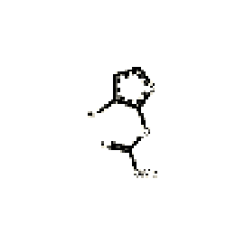 COC(=O)Oc1sccc1Br